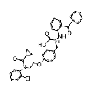 O=C(c1ccccc1)c1ccccc1N[C@@H](Cc1ccc(OCCN(C(=O)C2CC2)c2ccccc2Cl)cc1)C(=O)O